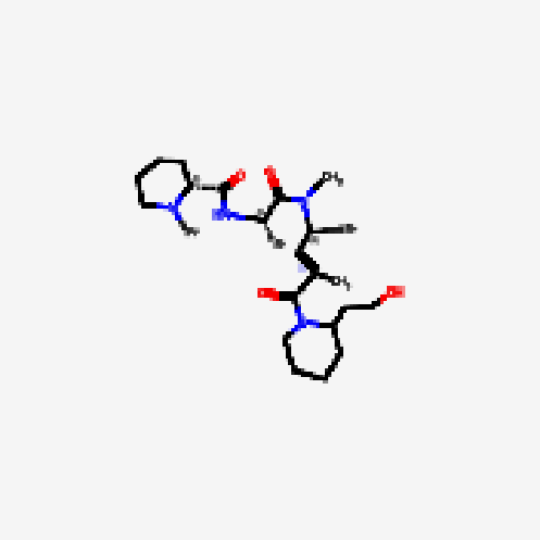 C/C(=C\[C@H](C(C)C)N(C)C(=O)[C@@H](NC(=O)[C@H]1CCCCN1C(C)C)C(C)C)C(=O)N1CCCCC1CCO